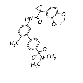 Cc1ccc(NC(=O)C2(c3ccc4c(c3)OCCO4)CC2)cc1-c1ccc(S(=O)(=O)N(C)C)cc1